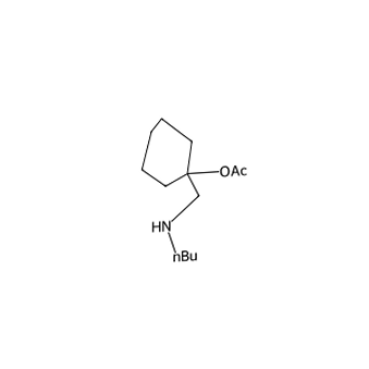 CCCCNCC1(OC(C)=O)CCCCC1